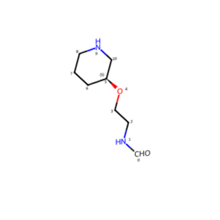 O=CNCCO[C@H]1CCCNC1